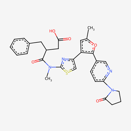 Cc1cc(-c2csc(N(C)C(=O)C(CC(=O)O)Cc3ccccc3)n2)c(-c2ccc(N3CCCC3=O)nc2)o1